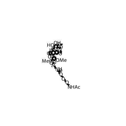 COc1cc([C@H]2c3cc4c(cc3[C@H](OC3OC5COC(C)OC5C(O)C3O)[C@@H]3COC(=O)[C@@H]23)OCO4)cc(OC)c1OC(=O)N(C)CCNCC(=O)COCCOCCOCCNC(C)=O